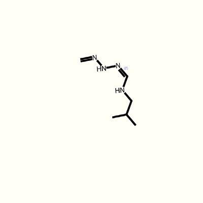 C=NN/N=C\NCC(C)C